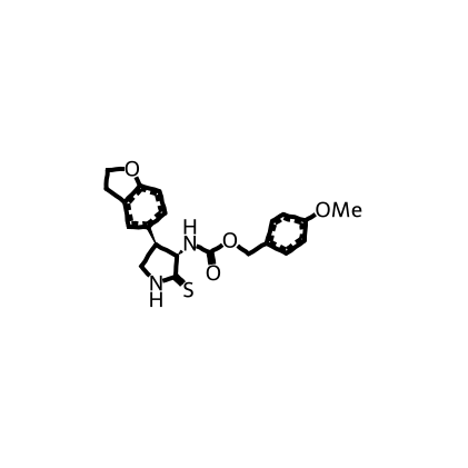 COc1ccc(COC(=O)N[C@@H]2C(=S)NC[C@H]2c2ccc3c(c2)CCO3)cc1